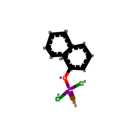 S=P(Cl)(Cl)Oc1cccc2ccccc12